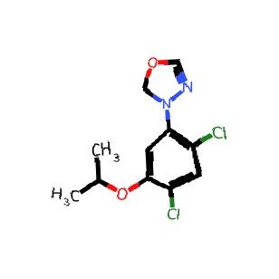 CC(C)Oc1cc(N2COC=N2)c(Cl)cc1Cl